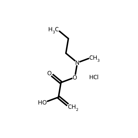 C=C(O)C(=O)ON(C)CCC.Cl